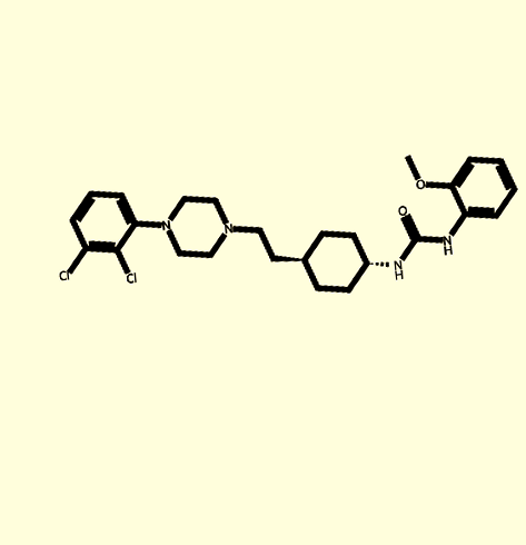 COc1ccccc1NC(=O)N[C@H]1CC[C@H](CCN2CCN(c3cccc(Cl)c3Cl)CC2)CC1